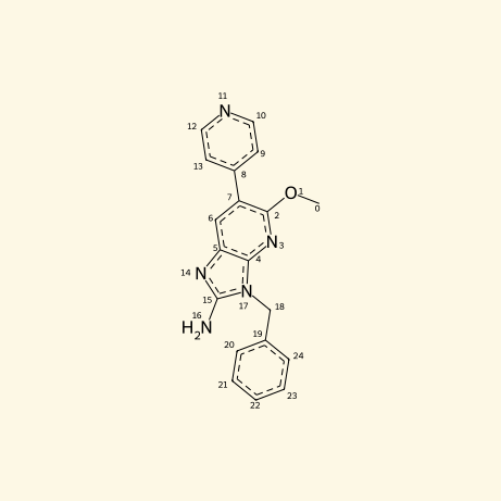 COc1nc2c(cc1-c1ccncc1)nc(N)n2Cc1ccccc1